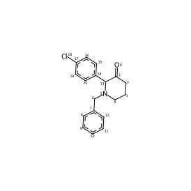 O=C1CCCN(Cc2ccccc2)C1c1ccc(Cl)cc1